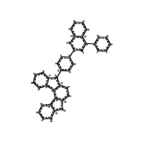 c1ccc(-c2nc(-c3ccc(-n4c5ccccc5c5c6c(ccc54)sc4ncccc46)cc3)nc3ccccc23)cc1